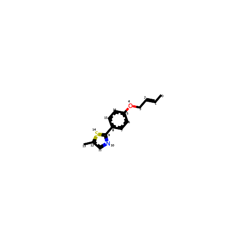 C/C=C/COc1ccc(-c2ncc(C)s2)cc1